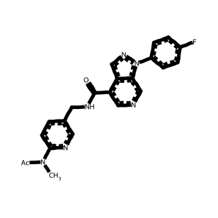 CC(=O)N(C)c1ccc(CNC(=O)c2cncc3c2cnn3-c2ccc(F)cc2)cn1